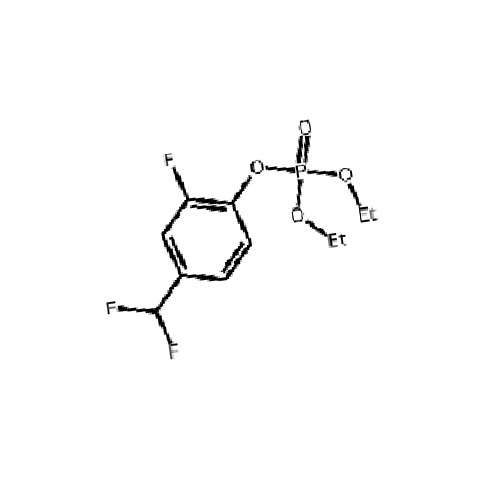 CCOP(=O)(OCC)Oc1ccc(C(F)F)cc1F